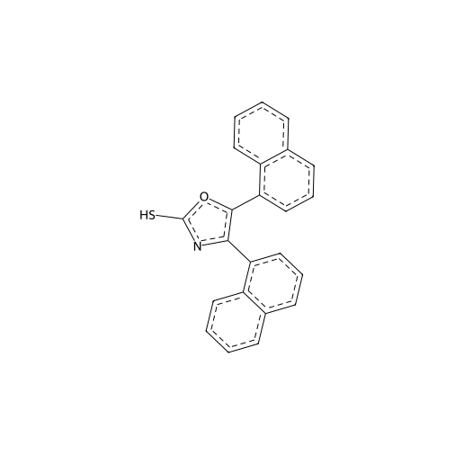 Sc1nc(-c2cccc3ccccc23)c(-c2cccc3ccccc23)o1